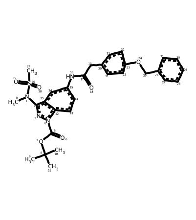 CN(c1nn(C(=O)OC(C)(C)C)c2ccc(NC(=O)Cc3ccc(OCc4ccccc4)cc3)cc12)S(C)(=O)=O